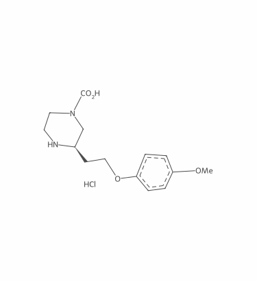 COc1ccc(OCC[C@@H]2CN(C(=O)O)CCN2)cc1.Cl